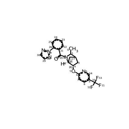 CC1C2C[C@@H](Oc3ccc(C(F)(F)F)cn3)[C@H](C2)N1C(=O)c1ccccc1-n1nccn1